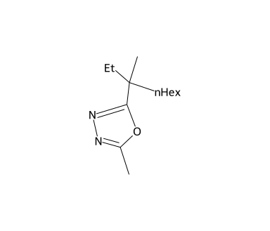 CCCCCCC(C)(CC)c1nnc(C)o1